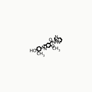 COc1cc2nn([C@H]3CC[C@H](O)[C@@H](C)C3)cc2cc1C(=O)Nc1cnc2cccnn12